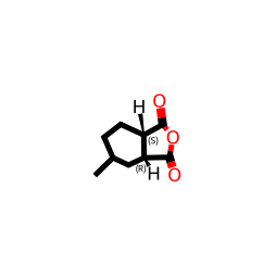 CC1CC[C@@H]2C(=O)OC(=O)[C@@H]2C1